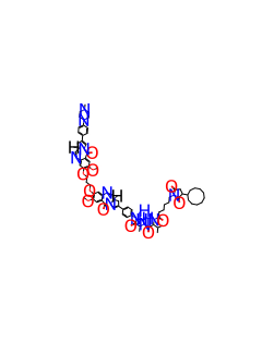 COc1cc2c(cc1OCCCOc1cc3c(cc1OC)C(=O)N1C=C(c4ccc(N5CCN(C)CC5)cc4)C[C@H]1C=N3)N=C[C@@H]1CC(c3ccc(NC(=O)[C@H](C)NC(=O)C(NC(=O)CCCCCN4C(=O)CC(C5CCCCCCCCC5)C4=O)C(C)C)cc3)=CN1C2=O